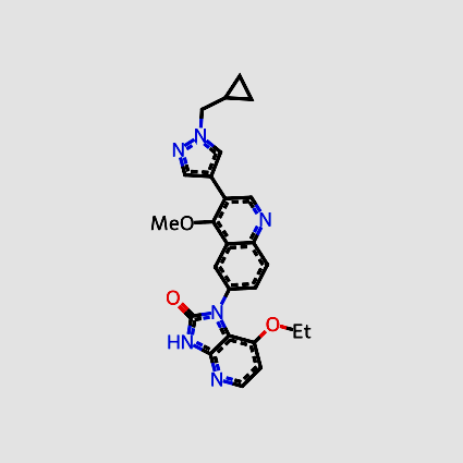 CCOc1ccnc2[nH]c(=O)n(-c3ccc4ncc(-c5cnn(CC6CC6)c5)c(OC)c4c3)c12